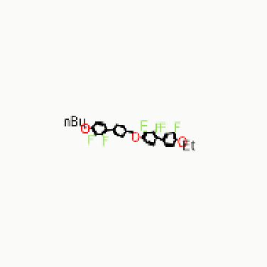 CCCCOc1ccc(C2=CCC(COc3ccc(-c4ccc(OCC)c(F)c4F)c(F)c3F)CC2)c(F)c1F